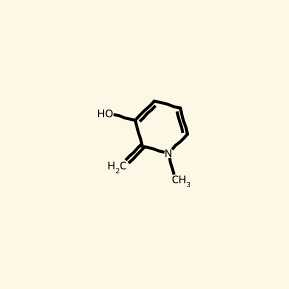 C=C1C(O)=CC=CN1C